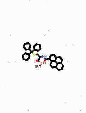 CC(C)(C)OC(=O)C(CSC(c1ccccc1)(c1ccccc1)c1ccccc1)NC(=O)c1ccc2ccc3c4c2c1CC=C4CC=C3